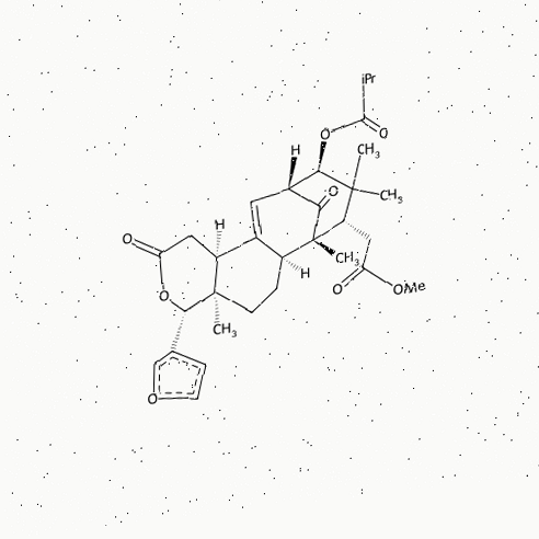 COC(=O)C[C@H]1C(C)(C)[C@H](OC(=O)C(C)C)[C@H]2C=C3[C@@H]4CC(=O)O[C@@H](c5ccoc5)[C@]4(C)CC[C@@H]3[C@]1(C)C2=O